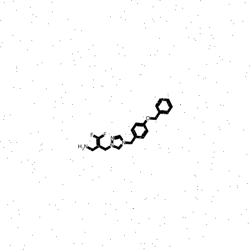 NCC(CN1CN(Cc2ccc(OCc3ccccc3)cc2)C=N1)=C(F)F